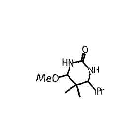 COC1NC(=O)NC(C(C)C)C1(C)C